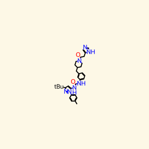 Cc1ccc(-n2nc(C(C)(C)C)cc2NC(=O)Nc2cccc(CC3CCN(C(=O)Cc4cnc[nH]4)CC3)c2)cc1